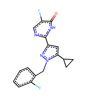 O=c1[nH]c(-c2cc(C3CC3)n(Cc3ccccc3F)n2)ncc1F